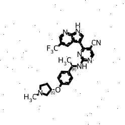 C[C@@H](Nc1ncc(C#N)c(-c2c[nH]c3ncc(C(F)(F)F)cc23)n1)c1ccc(O[C@H]2CCN(C)C2)cc1